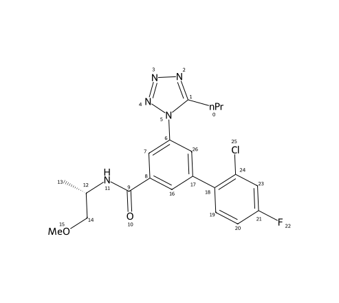 CCCc1nnnn1-c1cc(C(=O)N[C@@H](C)COC)cc(-c2ccc(F)cc2Cl)c1